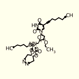 C#CCCCCC#Cc1cn([C@H]2C[C@@H](OCC)[C@@H](CNP(=O)(OCCCCC#C)OP(=O)(OCCC#N)OCCC#N)O2)c(=O)[nH]c1=O